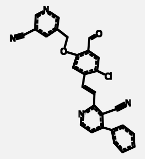 N#Cc1cncc(COc2cc(/C=C/c3nccc(-c4ccccc4)c3C#N)c(Cl)cc2C=O)c1